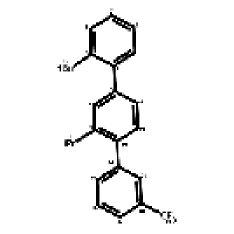 CC(C)c1cc(-c2cc[c]cc2C(C)(C)C)ccc1-c1cccc(C(F)(F)F)c1